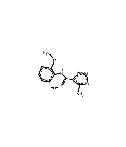 COc1ccccc1N/C(=N\O)c1nonc1N